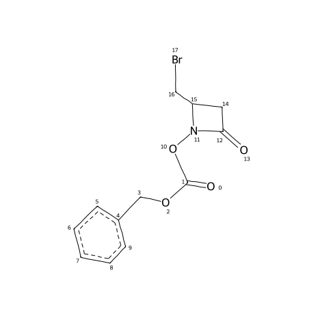 O=C(OCc1ccccc1)ON1C(=O)CC1CBr